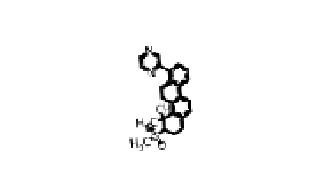 CC1(C)c2c3c(ccc2=CCC1S(C)(=O)=O)=c1cccc(-c2cnccn2)c1=CC3